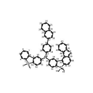 CS1(C)c2ccccc2-c2cc(N(c3ccc(-c4ccc5ccccc5c4)cc3)c3ccc4c(c3)-c3c(ccc5sc6ccccc6c35)S4(C)C)ccc21